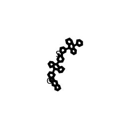 c1ccc(-c2c3ccccc3c(-c3ccc4sc5cc(-c6c7ccccc7c(-c7ccc8oc9cc%10ccccc%10cc9c8c7)c7ccccc67)ccc5c4c3)c3ccccc23)cc1